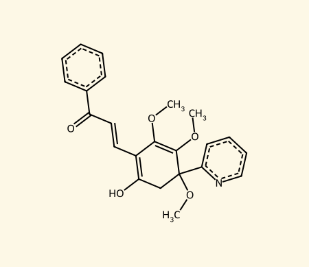 COC1=C(OC)C(OC)(c2ccccn2)CC(O)=C1/C=C/C(=O)c1ccccc1